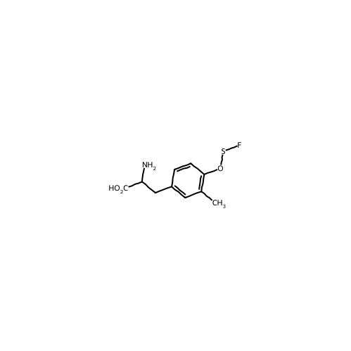 Cc1cc(CC(N)C(=O)O)ccc1OSF